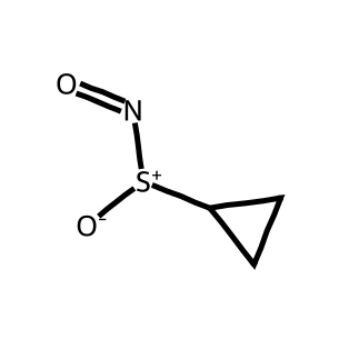 O=N[S+]([O-])C1CC1